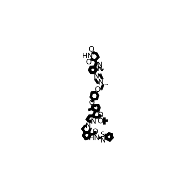 Cc1c(OC2CCC(OC[C@@H](C)N3CCN(c4cccc5c(C6CCC(=O)NC6=O)nn(C)c45)CC3)CC2)cccc1-c1ccc(N2CCc3cccc(C(=O)Nc4nc5ccccc5s4)c3C2)nc1C(=O)OC(C)(C)C